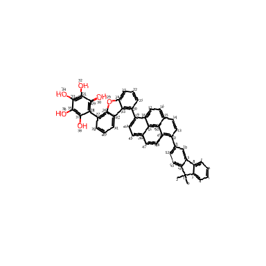 CC1(C)c2ccccc2-c2cc(-c3ccc4ccc5c(-c6cccc7oc8c(-c9c(O)c(O)c(O)c(O)c9O)cccc8c67)ccc6ccc3c4c65)ccc21